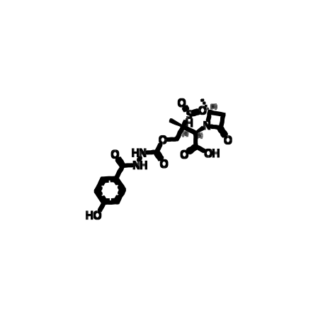 C[C@@H]1CC(=O)N1[C@@H](C(=O)O)[C@](C)(COC(=O)NNC(=O)c1ccc(O)cc1)[SH](=O)=O